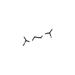 CC(Cl)OCCOC(C)Cl